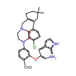 C=c1[nH]cc/c1=C/C(=C\N)Oc1cc(N2CCN(CC3=C(c4ccc(Cl)cc4)CC(C)(C)CC3)CC2)ccc1C=O